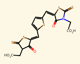 O=C(O)CC1C(=O)C(=Cc2ccc(C=C3SC(=S)N(CC(=O)O)C3=O)s2)SC1=S